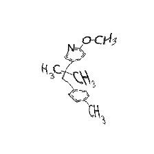 COc1ccc(C(C)(C)Cc2ccc(C)cc2)cn1